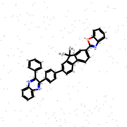 CC1(C)c2cc(-c3ccc(-c4nc5ccccc5nc4-c4ccccc4)cc3)ccc2-c2ccc(-c3nc4ccccc4o3)cc21